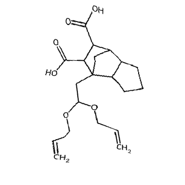 C=CCOC(CC12CC(C3CCCC31)C(C(=O)O)C2C(=O)O)OCC=C